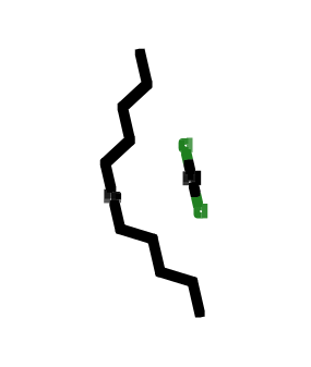 CCCC[CH2][Fe][CH2]CCCC.[Cl][Pd][Cl]